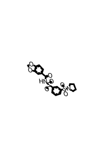 O=C(NS(=O)(=O)c1cccc(S(=O)(=O)N2CCCC2)c1)c1ccc2c(c1)OCO2